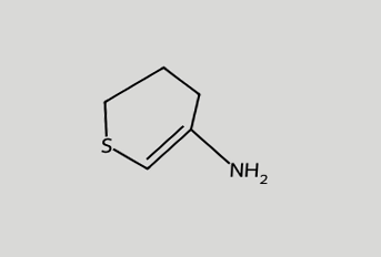 NC1=CSCCC1